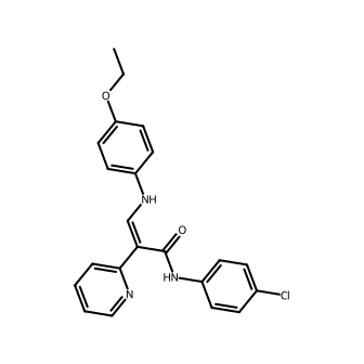 CCOc1ccc(N/C=C(\C(=O)Nc2ccc(Cl)cc2)c2ccccn2)cc1